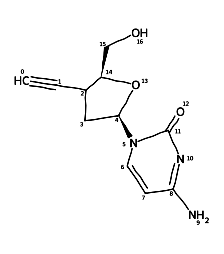 C#CC1C[C@H](n2ccc(N)nc2=O)O[C@@H]1CO